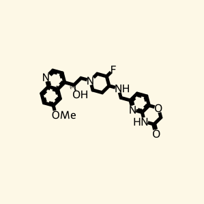 COc1ccc2nccc([C@@H](O)CN3CCC(NCc4ccc5c(n4)NC(=O)CO5)C(F)C3)c2c1